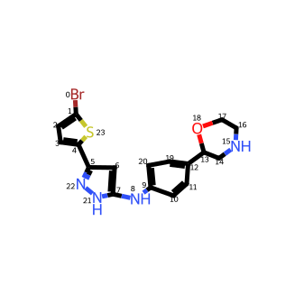 Brc1ccc(-c2cc(Nc3ccc(C4CNCCO4)cc3)[nH]n2)s1